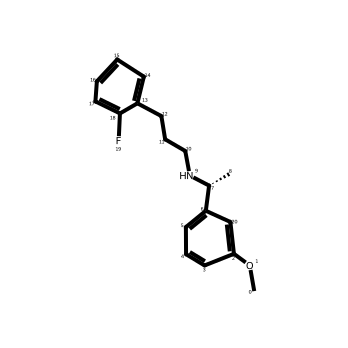 COc1cccc([C@@H](C)NCCCc2ccccc2F)c1